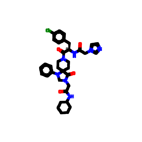 O=C(CN1CN(c2ccccc2)C2(CCN(C(=O)[C@@H](Cc3ccc(Cl)cc3)NC(=O)Cn3ccnc3)CC2)C1=O)NC1CCCCC1